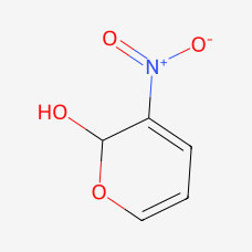 O=[N+]([O-])C1=CC=COC1O